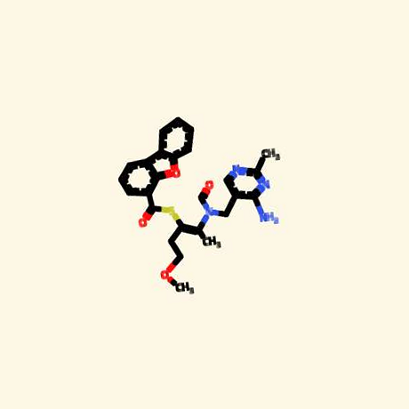 COCC/C(SC(=O)c1cccc2c1oc1ccccc12)=C(\C)N(C=O)Cc1cnc(C)nc1N